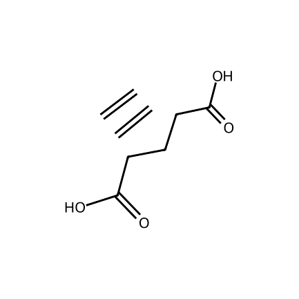 C=C.C=C.O=C(O)CCCC(=O)O